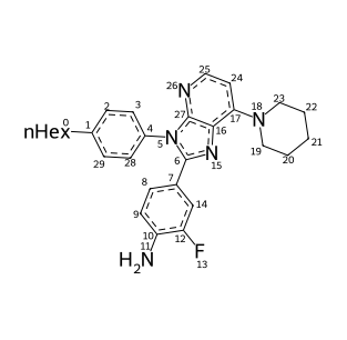 CCCCCCc1ccc(-n2c(-c3ccc(N)c(F)c3)nc3c(N4CCCCC4)ccnc32)cc1